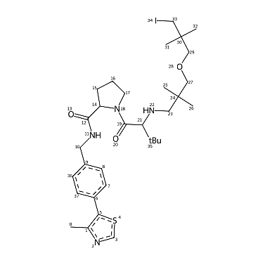 Cc1ncsc1-c1ccc(CNC(=O)C2CCCN2C(=O)C(NCC(C)(C)COCC(C)(C)CI)C(C)(C)C)cc1